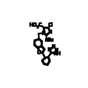 CCCCc1nc(Cl)c(C(=O)O)n1Cc1ccc2oc(-c3ccccc3-c3nnn[nH]3)cc2c1